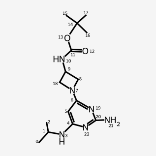 CC(C)Nc1cc(N2CC(NC(=O)OC(C)(C)C)C2)nc(N)n1